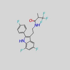 CC(C(=O)NCCc1c(-c2ccc(F)cc2)[nH]c2c(F)cc(F)cc12)C(F)(F)F